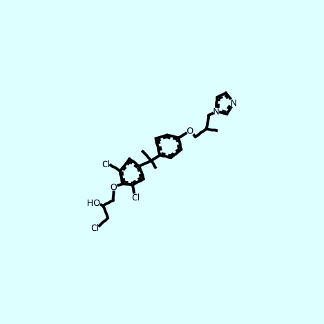 CC(COc1ccc(C(C)(C)c2cc(Cl)c(OCC(O)CCl)c(Cl)c2)cc1)Cn1ccnc1